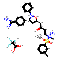 Cc1cccc(S(=O)(=O)[N+](C)(N)[C@@H](CC(=O)C[C@H]2C[C@@H](c3ccc(C(=N)N)cc3)N(c3ccccc3)O2)C(=O)O)c1.O=C(O)C(F)(F)F